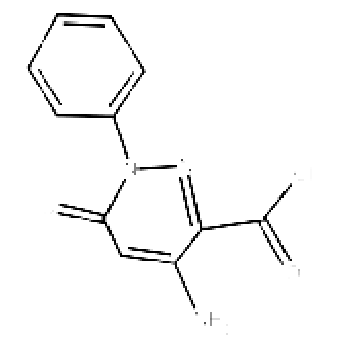 Nc1cc(=O)n(-c2ccccc2)nc1C(=O)O